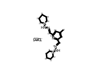 Cc1cc(C=NNN2CCCCC2)nc(C=NNN2CCCCC2)c1.[Cl-].[Cl-].[Co+2]